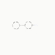 Cc1c(-c2ccccc2)ccc(N(C)C)c1C